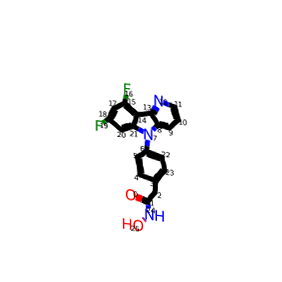 O=C(Cc1ccc(-n2c3cccnc3c3c(F)cc(F)cc32)cc1)NO